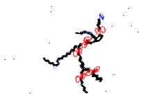 CC/C=C\CC1C(CC(=O)OCC(CCCCCCCC/C=C\C/C=C\CCCCC)OC(=O)CCCCC(COC(=O)CCCCC)COC(=O)CCCCC)CCC1OC(=O)CCCN(C)C